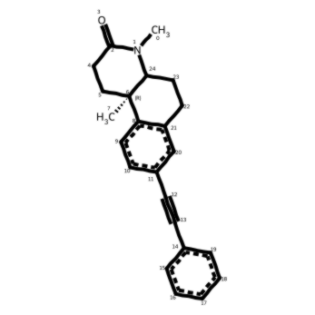 CN1C(=O)CC[C@]2(C)c3ccc(C#Cc4ccccc4)cc3CCC12